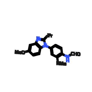 CNc1cc(-n2c(C(C)C)nc3cc(OC)ccc32)ccc1NC=O